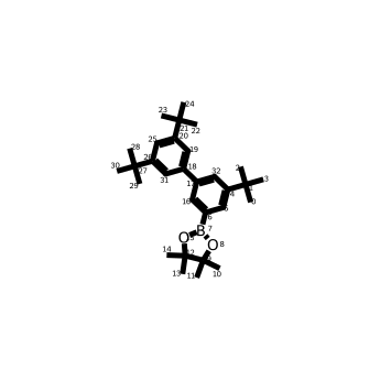 CC(C)(C)c1cc(B2OC(C)(C)C(C)(C)O2)cc(-c2cc(C(C)(C)C)cc(C(C)(C)C)c2)c1